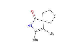 CC(C)(C)C1=C(C(C)(C)C)C2(CCCC2)C(=O)N1